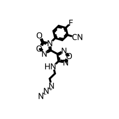 N#Cc1cc(-n2c(-c3nonc3NCCN=[N+]=[N-])noc2=O)ccc1F